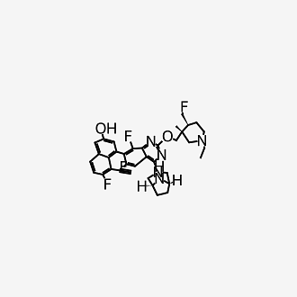 C#Cc1c(F)ccc2cc(O)cc(-c3c(F)cc4c(N5C[C@H]6CC[C@@H](C5)N6)nc(OC[C@@]5(C)CN(CC)CC[C@@H]5CF)nc4c3F)c12